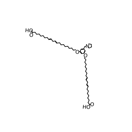 O=C(O)CCCCCCCC=CCC=CCCCCCCCCCOc1cc(CN2CCCC2)cc(OCCCCCCCCCC=CCC=CCCCCCCCC(=O)O)c1